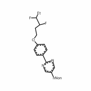 CCCCCCCCCc1cnc(-c2ccc(OCCC(F)C(F)CC)cc2)nc1